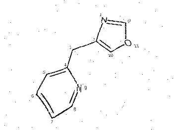 [c]1nc(Cc2ccccn2)co1